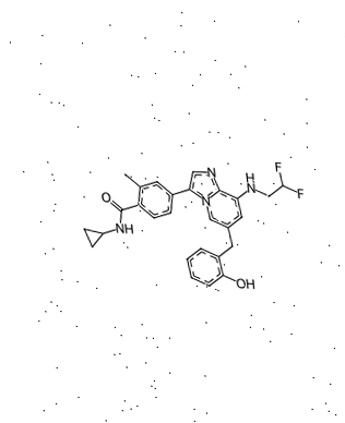 Cc1cc(-c2cnc3c(NCC(F)F)cc(Cc4ccccc4O)cn23)ccc1C(=O)NC1CC1